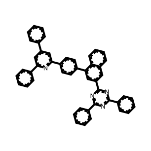 c1ccc(-c2cc(-c3ccccc3)nc(-c3ccc(-c4cc(-c5nc(-c6ccccc6)nc(-c6ccccc6)n5)cc5ccccc45)cc3)c2)cc1